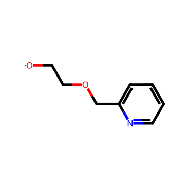 [O]CCOCc1ccccn1